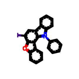 Ic1cc2c3ccccc3n(-c3ccccc3)c2c2c1oc1ccccc12